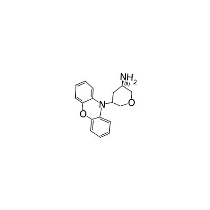 N[C@H]1COCC(N2c3ccccc3Oc3ccccc32)C1